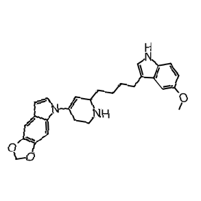 COc1ccc2[nH]cc(CCCCC3C=C(n4ccc5cc6c(cc54)OCO6)CCN3)c2c1